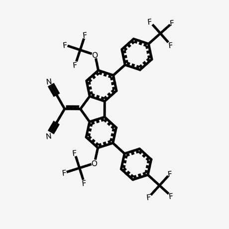 N#CC(C#N)=C1c2cc(OC(F)(F)F)c(-c3ccc(C(F)(F)F)cc3)cc2-c2cc(-c3ccc(C(F)(F)F)cc3)c(OC(F)(F)F)cc21